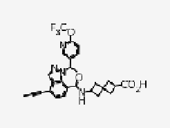 CC#Cc1ccc(C(=O)NC2CC3(C2)CC(C(=O)O)C3)c2c1cnn2C(C)c1ccc(OC(F)(F)F)nc1